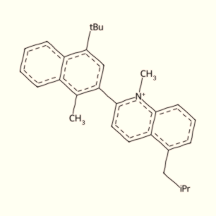 Cc1c(-c2ccc3c(CC(C)C)cccc3[n+]2C)cc(C(C)(C)C)c2ccccc12